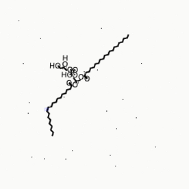 CCCCCCCC/C=C\CCCCCCCCCC(=O)O[C@H](COC(=O)CCCCCCCCCCCCCCCCCCC)COP(=O)(O)OC[C@@H](O)CO